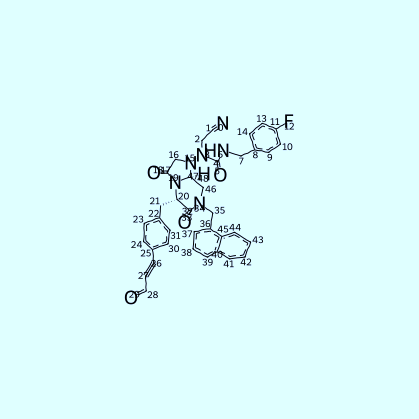 N#CCN(C(=O)NCc1ccc(F)cc1)N1CC(=O)N2[C@@H](Cc3ccc(C#CC=O)cc3)C(=O)N(Cc3cccc4ccccc34)C[C@@H]21